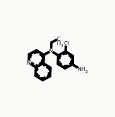 CCN(c1ccc(N)cc1Cl)c1ccnc2ccccc12